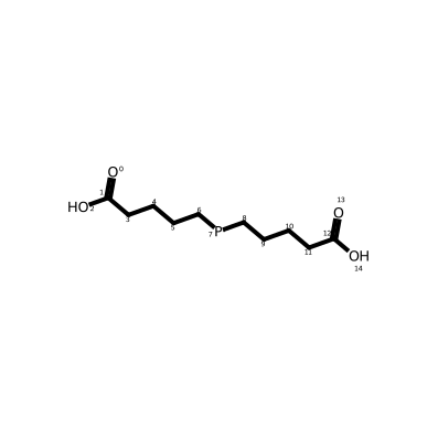 O=C(O)CCCC[P]CCCCC(=O)O